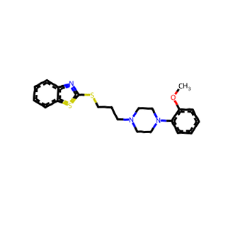 COc1ccccc1N1CCN(CCCSc2nc3ccccc3s2)CC1